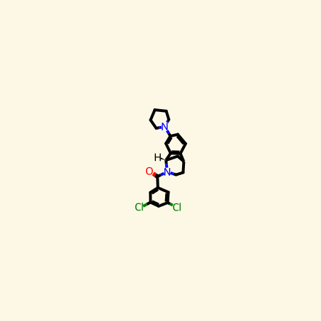 O=C(c1cc(Cl)cc(Cl)c1)N1CCC2C[C@@H]1c1cc(N3CCCCC3)ccc12